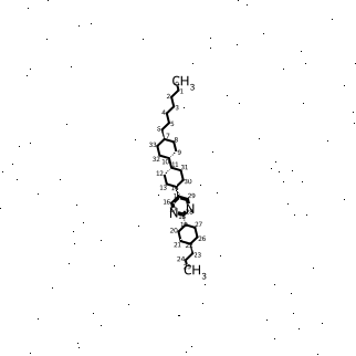 CCCCCCC[C@H]1CC[C@H]([C@H]2CC[C@H](c3cnc([C@H]4CC[C@H](CCC)CC4)nc3)CC2)CC1